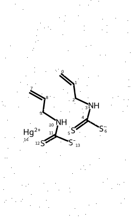 C=CCNC(=S)[S-].C=CCNC(=S)[S-].[Hg+2]